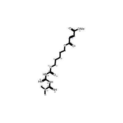 COC(=O)/C=C/C(=O)OCCCCCOC(=O)NC(=N)NC(=N)N(C)C